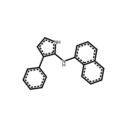 c1ccc(-c2cc[nH]c2Nc2cccc3ccccc23)cc1